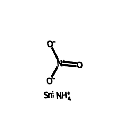 O=[N+]([O-])[O-].[NH4+].[Sn]